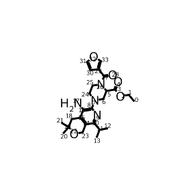 CCOC(=O)C1CN(c2nc(C(C)C)c3c(c2N)CC(C)(C)OC3)CCN1C(=O)c1ccoc1